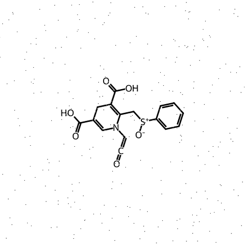 O=C=CN1C=C(C(=O)O)CC(C(=O)O)=C1C[S+]([O-])c1ccccc1